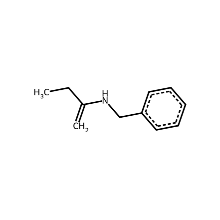 C=C(CC)NCc1ccccc1